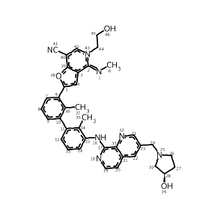 C/N=c1/c2cc(-c3cccc(-c4cccc(Nc5nccc6cc(CN7CC[C@@H](O)C7)cnc56)c4C)c3C)oc2c(C#N)cn1CCO